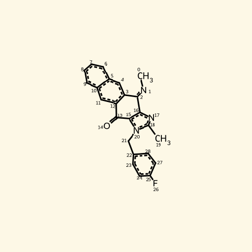 C/N=C1\c2cc3ccccc3cc2C(=O)c2c1nc(C)n2Cc1ccc(F)cc1